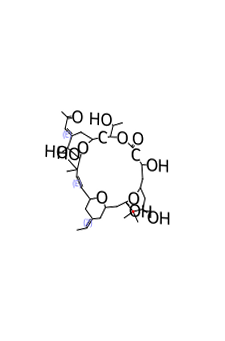 C/C=C1\CC2/C=C/C(C)(C)C3(O)OC(C/C(=C\C(C)=O)C3O)CC(C(C)O)OC(=O)CC(O)CC3CC(O)C(C)(C)C(O)(CC(C1)O2)O3